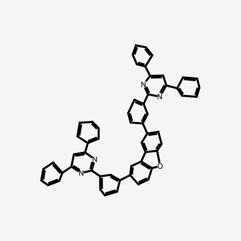 c1ccc(-c2cc(-c3ccccc3)nc(-c3cccc(-c4ccc5oc6ccc(-c7cccc(-c8nc(-c9ccccc9)cc(-c9ccccc9)n8)c7)cc6c5c4)c3)n2)cc1